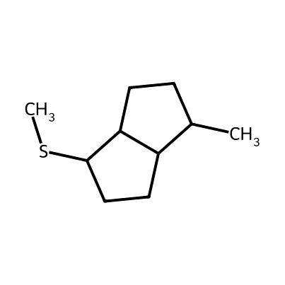 CSC1CCC2C(C)CCC12